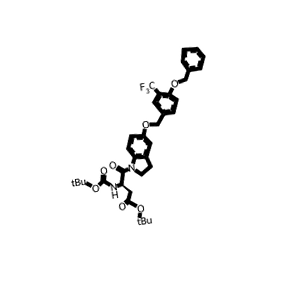 CC(C)(C)OC(=O)C[C@@H](NC(=O)OC(C)(C)C)C(=O)N1CCc2cc(OCc3ccc(OCc4ccccc4)c(C(F)(F)F)c3)ccc21